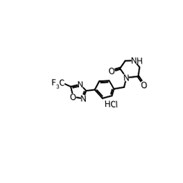 Cl.O=C1CNCC(=O)N1Cc1ccc(-c2noc(C(F)(F)F)n2)cc1